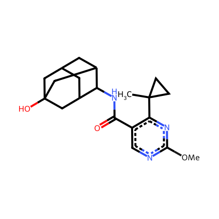 COc1ncc(C(=O)NC2C3CC4CC2CC(O)(C4)C3)c(C2(C)CC2)n1